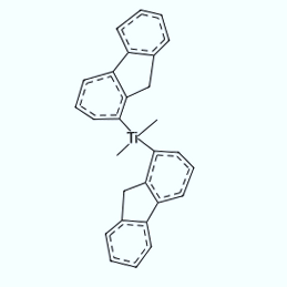 [CH3][Ti]([CH3])([c]1cccc2c1Cc1ccccc1-2)[c]1cccc2c1Cc1ccccc1-2